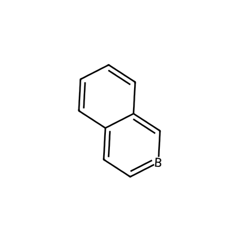 b1ccc2ccccc2c1